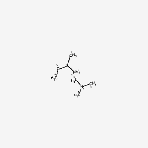 CN(C)C.COC(C)N